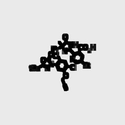 C#CCOc1cc(-n2nc(C(C)(C)C)oc2=O)c(Cl)cc1Cl.CCc1cnc(C2=NC(C)(C(C)C)C(=O)N2)c(C(=O)O)c1